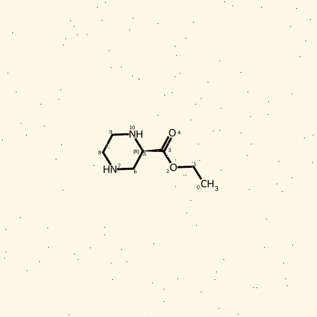 CCOC(=O)[C@H]1CNCCN1